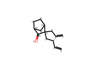 C=CCCC1(CC=C)C(=O)C2CCC1C2